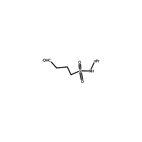 CCCNS(=O)(=O)CCC[C]=O